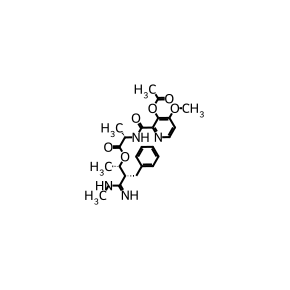 CNC(=N)[C@@H](Cc1ccccc1)[C@H](C)OC(=O)[C@H](C)NC(=O)c1nccc(OC)c1OC(C)=O